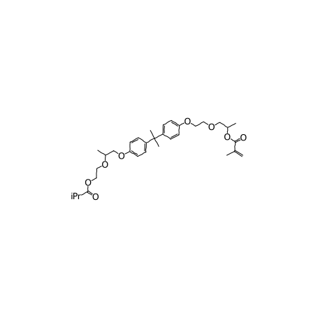 C=C(C)C(=O)OC(C)COCCOc1ccc(C(C)(C)c2ccc(OCC(C)OCCOC(=O)C(C)C)cc2)cc1